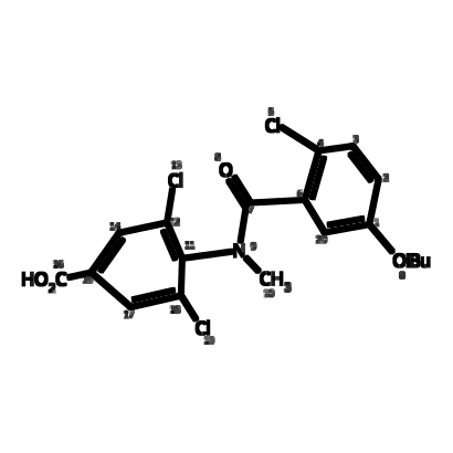 CC(C)COc1ccc(Cl)c(C(=O)N(C)c2c(Cl)cc(C(=O)O)cc2Cl)c1